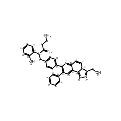 NCCC(=O)N(Cc1ccc(-c2nc3ccn4c(CO)nnc4c3cc2-c2ccccc2)cc1)c1ccccc1O